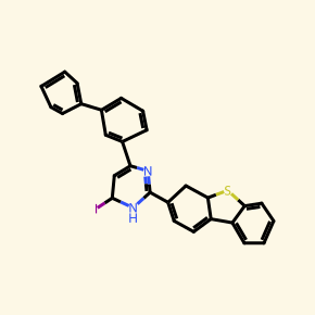 IC1C=C(c2cccc(-c3ccccc3)c2)N=C(C2=CC=C3c4ccccc4SC3C2)N1